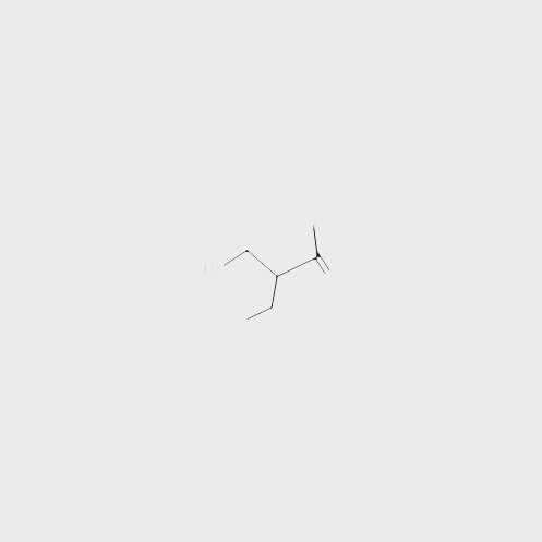 CC(=O)C(CS)CS